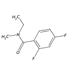 [CH2]CN(C)C(=O)c1ccc(F)cc1F